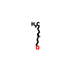 CCCCC=[C]CCC=O